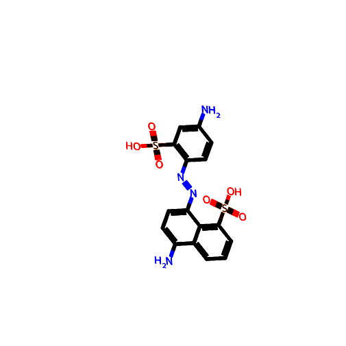 Nc1ccc(/N=N/c2ccc(N)c3cccc(S(=O)(=O)O)c23)c(S(=O)(=O)O)c1